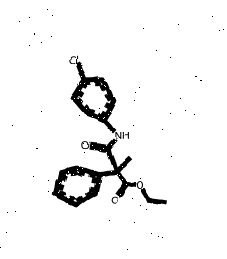 CCOC(=O)C(C)(C(=O)Nc1ccc(Cl)cc1)c1ccccc1